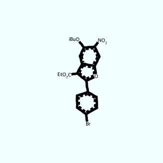 CCOC(=O)c1c(-c2ccc(Br)cc2)oc2cc([N+](=O)[O-])c(OCC(C)C)cc12